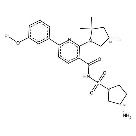 CCOc1cccc(-c2ccc(C(=O)NS(=O)(=O)N3CC[C@H](N)C3)c(N3C[C@@H](C)CC3(C)C)n2)c1